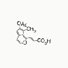 CC(=O)Oc1cc2ccoc(C=CC(=O)O)c-2c1C